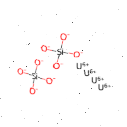 [O-][Si]([O-])([O-])[O-].[O-][Si]([O-])([O-])[O-].[U+6].[U+6].[U+6].[U+6]